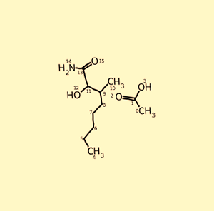 CC(=O)O.CCCCCC(C)C(O)C(N)=O